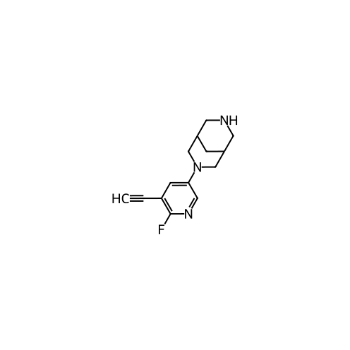 C#Cc1cc(N2CC3CNCC(C3)C2)cnc1F